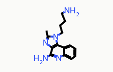 Cc1nc2c(N)nc3ccccc3c2n1CCCCN